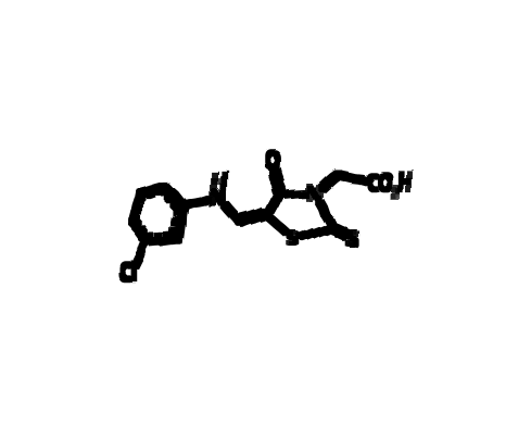 O=C(O)CN1C(=O)C(=CNc2cccc(Cl)c2)SC1=S